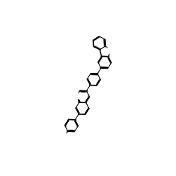 Fc1ccc(-c2ccc3cc(-c4ccc(-c5ccc6oc7ccccc7c6c5)cc4)cnc3c2)cc1